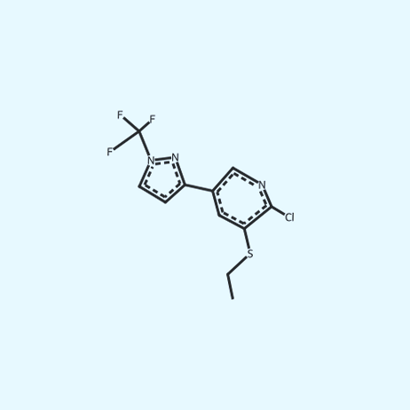 CCSc1cc(-c2ccn(C(F)(F)F)n2)cnc1Cl